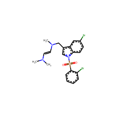 CN(C)C=CN(C)Cc1cn(S(=O)(=O)c2ccccc2Br)c2ccc(Br)cc12